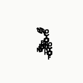 CC(c1ccc(F)cc1)C(NC(=O)c1ccnn1C(C)C)C(=O)Nc1ccc([C@H](C)CC(=O)N2CCN(C)CC2)cc1F